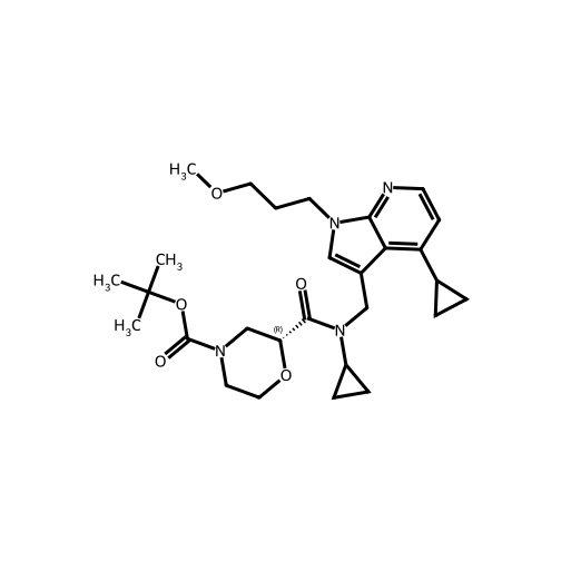 COCCCn1cc(CN(C(=O)[C@H]2CN(C(=O)OC(C)(C)C)CCO2)C2CC2)c2c(C3CC3)ccnc21